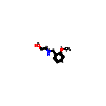 COc1ccccc1CNCCO